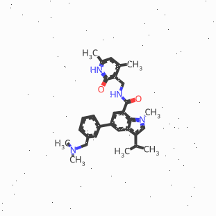 Cc1cc(C)c(CNC(=O)c2cc(-c3cccc(CN(C)C)c3)cc3c(C(C)C)cn(C)c23)c(=O)[nH]1